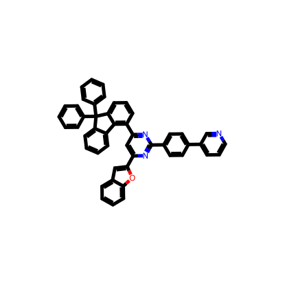 c1ccc(C2(c3ccccc3)c3ccccc3-c3c(-c4cc(-c5cc6ccccc6o5)nc(-c5ccc(-c6cccnc6)cc5)n4)cccc32)cc1